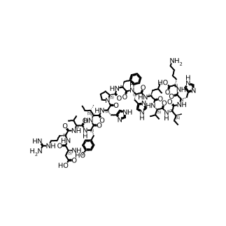 CC[C@H](C)[C@H](NC(=O)[C@H](Cc1ccc(O)cc1)NC(=O)[C@@H](NC(=O)[C@H](CCCNC(=N)N)NC(=O)[C@@H](N)CC(=O)O)C(C)C)C(=O)N[C@@H](Cc1c[nH]cn1)C(=O)N1CCC[C@H]1C(=O)N[C@@H](Cc1ccccc1)C(=O)N[C@@H](Cc1c[nH]cn1)C(=O)N[C@@H](CC(C)C)C(=O)N[C@H](C(=O)N[C@H](C(=O)N[C@@H](Cc1c[nH]cn1)C(=O)N[C@@H](CCCCN)C(=O)O)[C@@H](C)CC)C(C)C